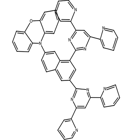 c1ccc(-c2cc(-c3ccccn3)nc(-c3cc(-c4nc(-c5ccccn5)cc(-c5ccccn5)n4)c4cc(N5c6ccccc6Oc6ccccc65)ccc4c3)n2)nc1